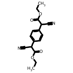 CCOC(=O)C(C#N)c1ccc(C(C#N)C(=O)OCC)cc1